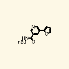 CCCCNC(=O)c1cncc(-c2ccco2)c1